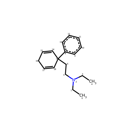 CCN(CC)CCC1(c2ccccc2)C=CCC=C1